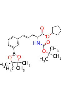 CC(C)(C)OC(=O)N[C@@H](CC=Cc1cccc(B2OC(C)(C)C(C)(C)O2)c1)C(=O)OC1CCCC1